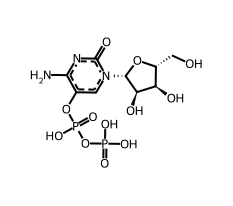 Nc1nc(=O)n([C@@H]2O[C@H](CO)[C@@H](O)[C@H]2O)cc1OP(=O)(O)OP(=O)(O)O